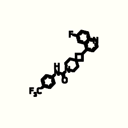 O=C(Nc1ccc(C(F)(F)F)cc1)N1CCC2(CC1)CC(c1ccnc3ccc(F)cc13)C2